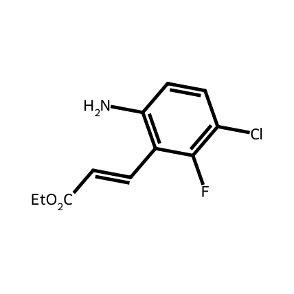 CCOC(=O)/C=C/c1c(N)ccc(Cl)c1F